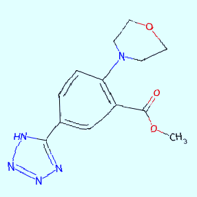 COC(=O)c1cc(-c2nnn[nH]2)ccc1N1CCOCC1